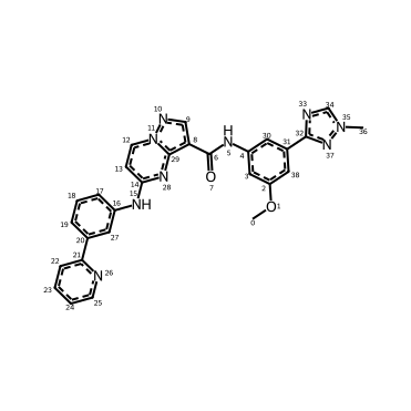 COc1cc(NC(=O)c2cnn3ccc(Nc4cccc(-c5ccccn5)c4)nc23)cc(-c2ncn(C)n2)c1